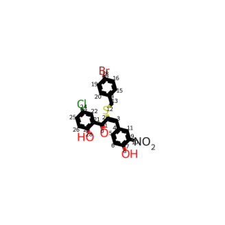 O=C(/C(=C\c1ccc(O)c([N+](=O)[O-])c1)SCc1ccc(Br)cc1)c1cc(Cl)ccc1O